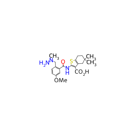 COc1ccc(CN(C)N)c(C(=O)Nc2sc3c(c2C(=O)O)CC(C)(C)CC3)c1